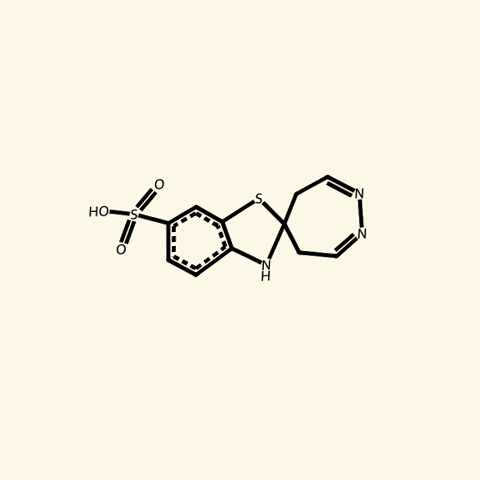 O=S(=O)(O)c1ccc2c(c1)SC1(CC=NN=CC1)N2